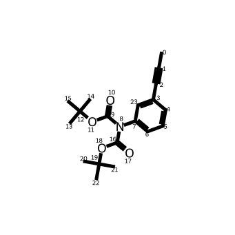 CC#Cc1cccc(N(C(=O)OC(C)(C)C)C(=O)OC(C)(C)C)c1